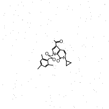 CC(=O)c1cn(S(=O)(=O)c2c(C)cc(C)cc2C)c2c(=O)n(C3CC3)ccc12